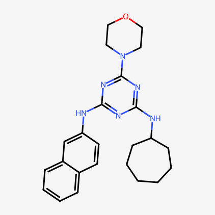 c1ccc2cc(Nc3nc(NC4CCCCCC4)nc(N4CCOCC4)n3)ccc2c1